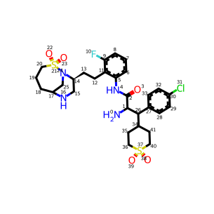 NC(C(=O)Nc1cccc(F)c1CC[C@H]1CNC2CCCS(=O)(=O)N1C2)C(c1ccc(Cl)cc1)C1CCS(=O)(=O)CC1